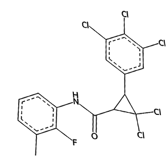 Cc1cccc(NC(=O)C2C(c3cc(Cl)c(Cl)c(Cl)c3)C2(Cl)Cl)c1F